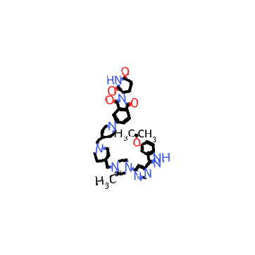 CC(C)Oc1ccc2[nH]nc(-c3cc(N4CCN(CC5CCN(CC6CCN(c7ccc8c(c7)C(=O)N(C7CCC(=O)NC7=O)C8=O)CC6)CC5)[C@@H](C)C4)ncn3)c2c1